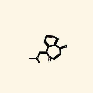 CN(C)C=C1NC=CC(=O)c2ccccc21